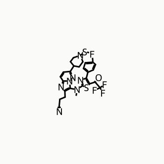 CSN1CCC(c2ccc3nc(CCC#N)c(N(C)c4nc(-c5ccc(F)cc5)c(C(=O)C(F)(F)F)s4)n3n2)CC1